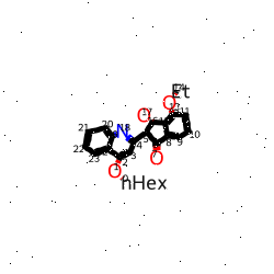 CCCCCCOc1cc(C2C(=O)c3cccc(OCC)c3C2=O)nc2ccccc12